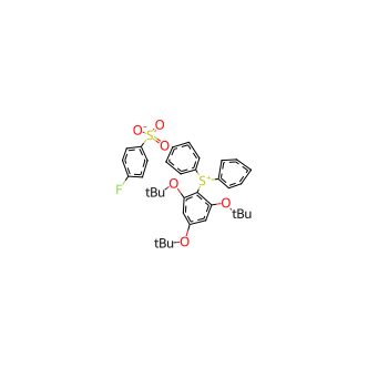 CC(C)(C)Oc1cc(OC(C)(C)C)c([S+](c2ccccc2)c2ccccc2)c(OC(C)(C)C)c1.O=S(=O)([O-])c1ccc(F)cc1